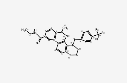 CONC(=O)c1ccc(C(C)Nc2nccc3c2N(Cc2ccc(C(F)(F)F)cc2)CCO3)cc1